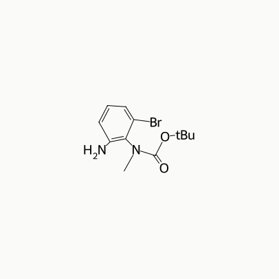 CN(C(=O)OC(C)(C)C)c1c(N)cccc1Br